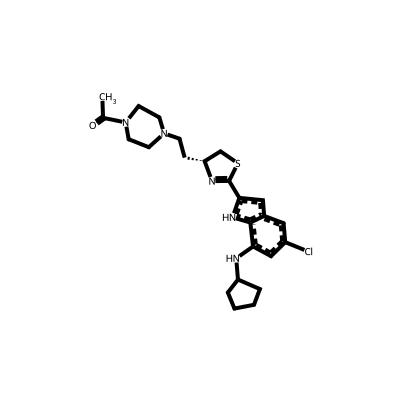 CC(=O)N1CCN(CC[C@@H]2CSC(c3cc4cc(Cl)cc(NC5CCCC5)c4[nH]3)=N2)CC1